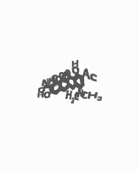 CC(=O)c1cc(N(C)C)c2c(c1O)C(=O)C1=C(O)[C@]3(O)C(=O)C(C(N)=O)=C(O)CC3CC1C2